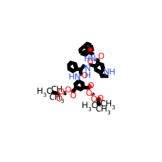 CC(C)(C)C(=O)OCOC(=O)c1cc(NC(=O)C(CNC(=O)c2cc3cc[nH]c3cc2C(=O)NCC23CC4CC(CC(C4)C2)C3)c2ccccc2)cc(C(=O)OCOC(=O)C(C)(C)C)c1